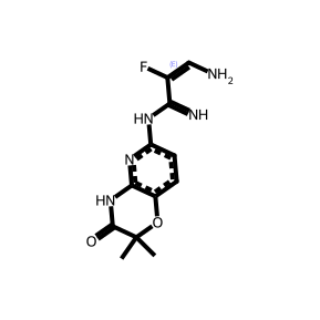 CC1(C)Oc2ccc(NC(=N)/C(F)=C\N)nc2NC1=O